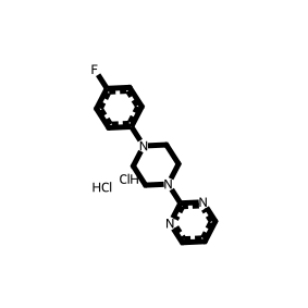 Cl.Cl.Fc1ccc(N2CCN(c3ncccn3)CC2)cc1